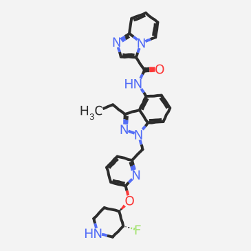 CCc1nn(Cc2cccc(O[C@@H]3CCNC[C@H]3F)n2)c2cccc(NC(=O)c3cnc4ccccn34)c12